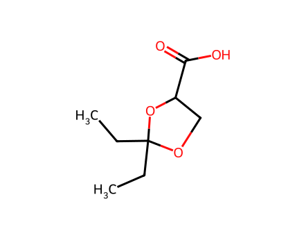 CCC1(CC)OCC(C(=O)O)O1